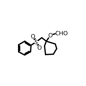 O=COC1(CS(=O)(=O)c2ccccc2)CCCCC1